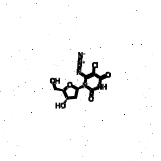 [N-]=[N+]=Nc1c(Cl)c(=O)[nH]c(=O)n1[C@H]1C[C@H](O)[C@@H](CO)O1